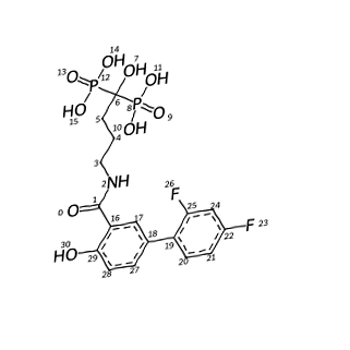 O=C(NCCCC(O)(P(=O)(O)O)P(=O)(O)O)c1cc(-c2ccc(F)cc2F)ccc1O